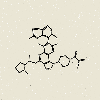 C=C(F)C(=O)N1CCC(n2nnc3c(O[C@@H](C)C4CCCN4C)nc4c(F)c(-c5c(F)ccc6ccc(C)nc56)c(C)cc4c32)CC1